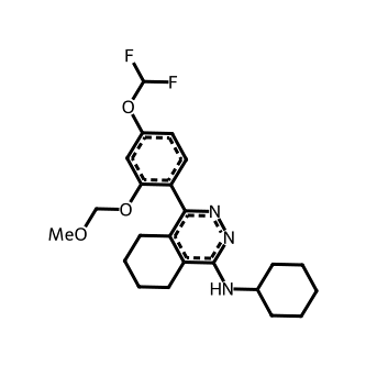 COCOc1cc(OC(F)F)ccc1-c1nnc(NC2CCCCC2)c2c1CCCC2